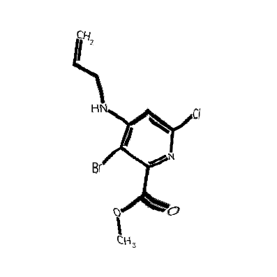 C=CCNc1cc(Cl)nc(C(=O)OC)c1Br